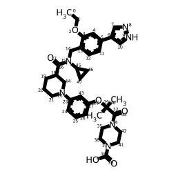 CCOc1cc(-c2cn[nH]c2)ccc1CN(C(=O)C1CCCN(c2cccc(OC(C)(C)C(=O)N3CCN(C(=O)O)CC3)c2)C1)C1CC1